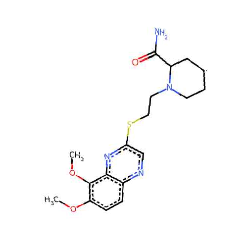 COc1ccc2ncc(SCCN3CC[CH]CC3C(N)=O)nc2c1OC